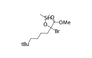 COC(=O)C(Br)(CCCCC(C)(C)C)O[SiH](C)C